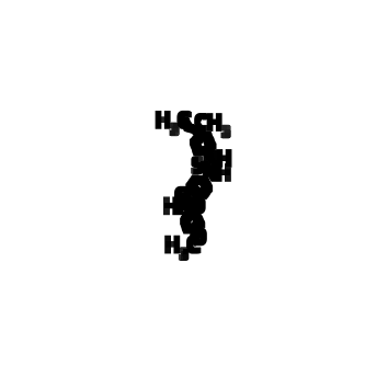 CCC(C)c1ccc(NC(=S)Nc2ccc(S(=O)(=O)Nc3ccc(OC)cc3)cc2)cc1